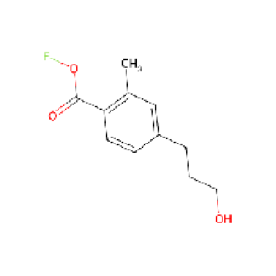 Cc1cc(CCCO)ccc1C(=O)OF